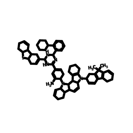 CC1(C)C2=C(CCC=C2)C2=C1CC(N1C3=C(CCCC3)C3C1C=CC1C4CCC=CC4N(C4CC=C(C5=NC(c6ccccc6C6CCCCC6)NC(C6=CCC7SC8CCC=CC8C7C6)N5)C=C4N)C13)C=C2